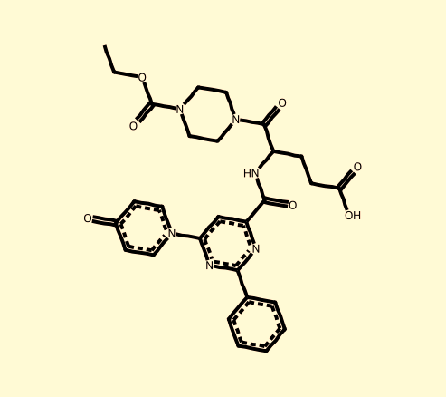 CCOC(=O)N1CCN(C(=O)C(CCC(=O)O)NC(=O)c2cc(-n3ccc(=O)cc3)nc(-c3ccccc3)n2)CC1